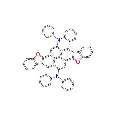 c1ccc(N(c2ccccc2)c2cc3c4oc5ccccc5c4cc4c(N(c5ccccc5)c5ccccc5)cc5c6oc7ccccc7c6cc2c5c43)cc1